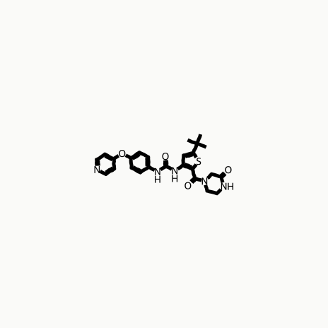 CC(C)(C)c1cc(NC(=O)Nc2ccc(Oc3ccncc3)cc2)c(C(=O)N2CCNC(=O)C2)s1